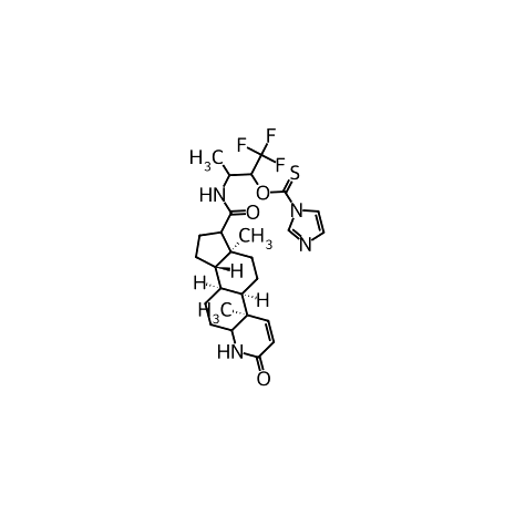 CC(NC(=O)C1CC[C@H]2[C@@H]3CCC4NC(=O)C=C[C@]4(C)[C@@H]3CC[C@]12C)C(OC(=S)n1ccnc1)C(F)(F)F